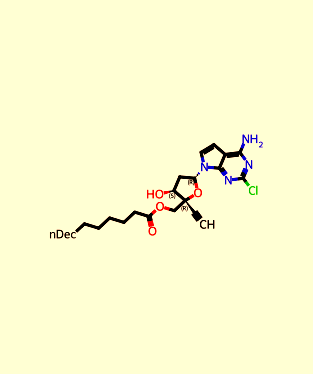 C#C[C@]1(COC(=O)CCCCCCCCCCCCCCC)O[C@@H](n2ccc3c(N)nc(Cl)nc32)C[C@@H]1O